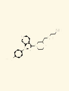 Cc1ccc(-n2nc(N3CCOC(CNCCN)C3)c3ccncc32)cc1